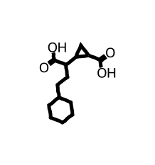 O=C(O)C(CCC1CCCCC1)C1CC1C(=O)O